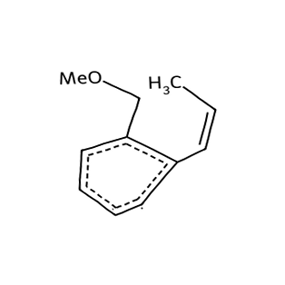 C/C=C\c1[c]cccc1COC